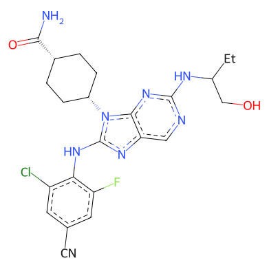 CCC(CO)Nc1ncc2nc(Nc3c(F)cc(C#N)cc3Cl)n([C@H]3CC[C@@H](C(N)=O)CC3)c2n1